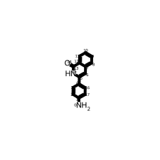 Nc1ccc(-c2cc3ccccc3c(=O)[nH]2)cc1